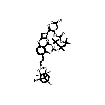 CC(C)(C)OC(=O)N[C@H](CC(=O)O)C(=O)N1CC(Oc2ccc(CCB3O[C@@H]4C[C@@H]5C[C@@H](C5(C)C)[C@]4(C)O3)c(OC(=O)OC(C)(C)C)c2C(=O)OC(C)(C)C)C1